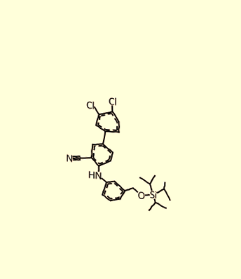 CC(C)[Si](OCc1cccc(Nc2ccc(-c3ccc(Cl)c(Cl)c3)cc2C#N)c1)(C(C)C)C(C)C